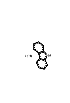 I.I.c1ccc2c(c1)[nH]c1ccccc12